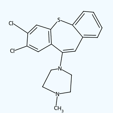 CN1CCN(C2=Cc3ccccc3Sc3cc(Cl)c(Cl)cc32)CC1